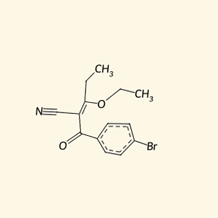 CCOC(CC)=C(C#N)C(=O)c1ccc(Br)cc1